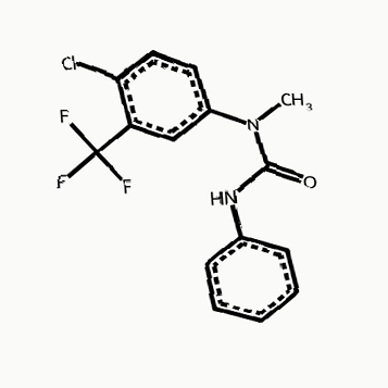 CN(C(=O)Nc1ccccc1)c1ccc(Cl)c(C(F)(F)F)c1